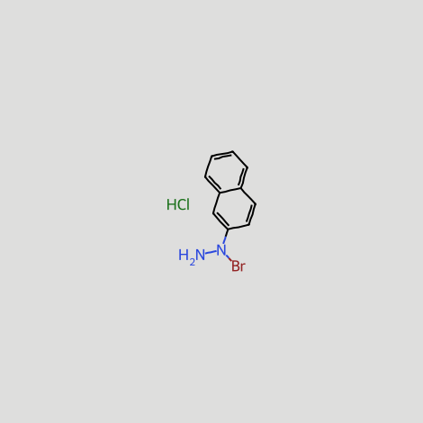 Cl.NN(Br)c1ccc2ccccc2c1